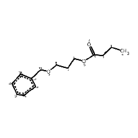 CCCC(=O)OCCCOCc1ccccc1